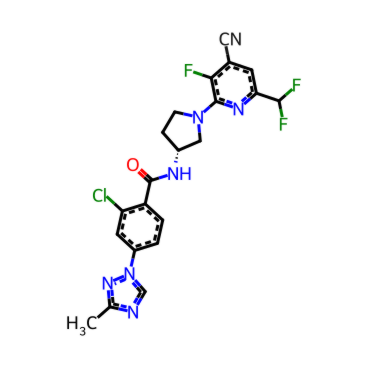 Cc1ncn(-c2ccc(C(=O)N[C@@H]3CCN(c4nc(C(F)F)cc(C#N)c4F)C3)c(Cl)c2)n1